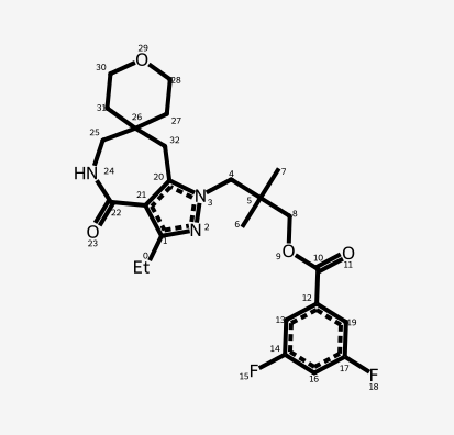 CCc1nn(CC(C)(C)COC(=O)c2cc(F)cc(F)c2)c2c1C(=O)NCC1(CCOCC1)C2